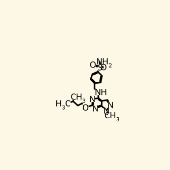 CC(C)CCOc1nc(NCc2ccc(S(N)(=O)=O)cc2)c2cnn(C)c2n1